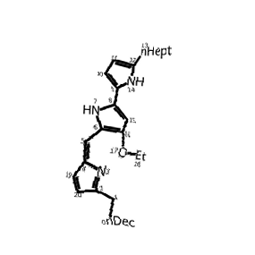 CCCCCCCCCCCC1=NC(=Cc2[nH]c(-c3ccc(CCCCCCC)[nH]3)cc2OCC)C=C1